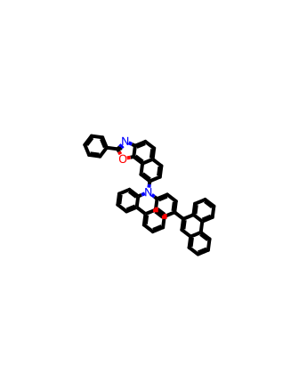 c1ccc(-c2nc3ccc4ccc(N(c5ccc(-c6cc7ccccc7c7ccccc67)cc5)c5ccccc5-c5ccccc5)cc4c3o2)cc1